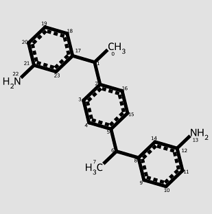 CC(c1ccc(C(C)c2cccc(N)c2)cc1)c1cccc(N)c1